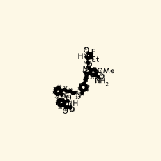 CC[C@@H]1[C@H](F)C(=O)N[C@@H]1COc1ncc(C#CC2CCC(CN(C)CCCCCc3ccccc3Oc3cccc4c3C(=O)NC(=O)C4=O)CC2)c2cc(C(N)=O)c(OC)cc12